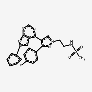 CS(=O)(=O)NCCn1cc(-c2ncnc3oc(-c4ccccc4)cc23)c(-c2ccc(F)cc2)n1